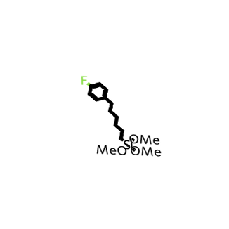 CO[Si](CCCCCCc1ccc(F)cc1)(OC)OC